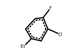 C[CH]c1ccc(F)c(Cl)c1